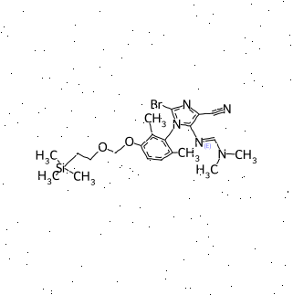 Cc1ccc(OCOCC[Si](C)(C)C)c(C)c1-n1c(Br)nc(C#N)c1/N=C/N(C)C